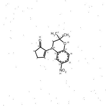 CC1(C)CN(C2=CCCC2=O)c2cc([N+](=O)[O-])ccc2O1